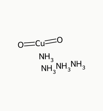 N.N.N.N.[O]=[Cu]=[O]